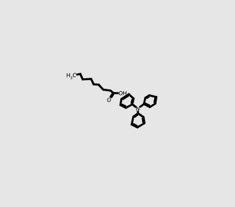 CCCCCCCCC(=O)O.c1ccc(N(c2ccccc2)c2ccccc2)cc1